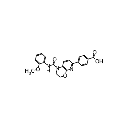 COc1ccccc1NC(=O)N1CCOc2nc(-c3ccc(C(=O)O)cc3)ccc21